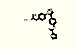 NC(Cc1ccc(-n2nncc2-c2ccc(NC(=O)c3cccs3)cc2)cc1)C(=O)O